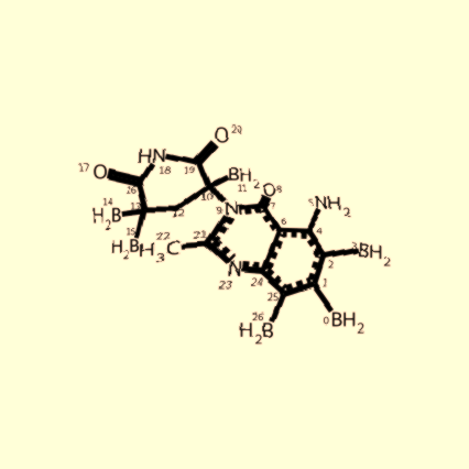 Bc1c(B)c(N)c2c(=O)n(C3(B)CC(B)(B)C(=O)NC3=O)c(C)nc2c1B